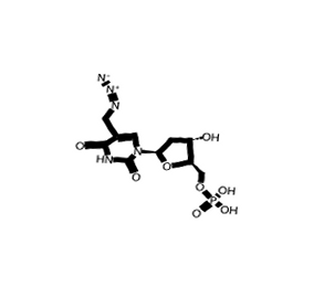 [N-]=[N+]=NCc1cn([C@H]2C[C@H](O)[C@@H](COP(=O)(O)O)O2)c(=O)[nH]c1=O